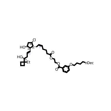 CCCCCCCCCCCCCCOc1cccc(C(=O)OCCOC(=O)CCC/C=C\C[C@@H]2[C@@H](/C=C/C[C@H](O)C3(CC)CCC3)[C@H](O)C[C@H]2Cl)c1